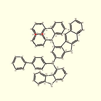 c1ccc(-c2ccc(N(c3cc(N(c4ccccc4)c4ccccc4-c4ccccc4)c4c(c3)oc3cc5ccccc5cc34)c3cccc4oc5ccccc5c34)cc2)cc1